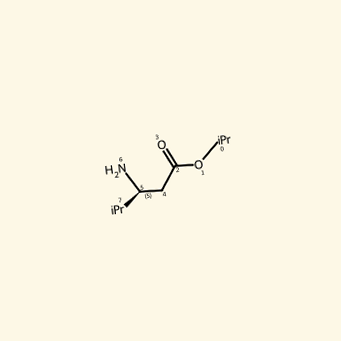 CC(C)OC(=O)C[C@H](N)C(C)C